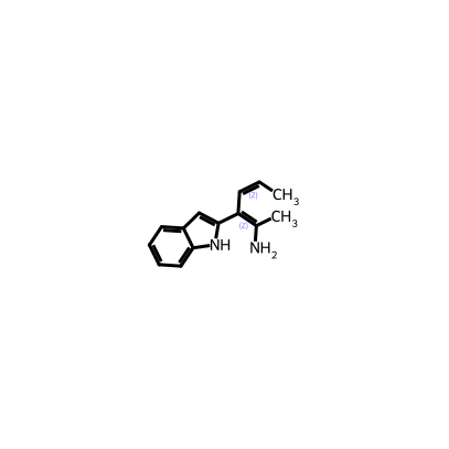 C/C=C\C(=C(/C)N)c1cc2ccccc2[nH]1